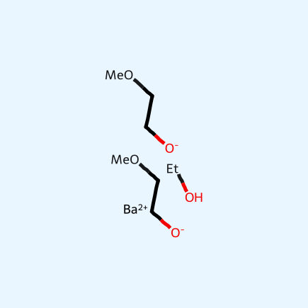 CCO.COCC[O-].COCC[O-].[Ba+2]